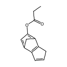 CCC(=O)OC1=C2CC(=C1)C1=C2CC=C1